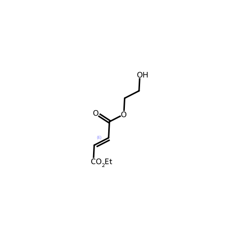 CCOC(=O)/C=C/C(=O)OCCO